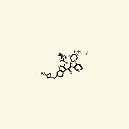 CC(C)(C)OC(=O)Nc1oc2cc(CN3CC(O)C3)cnc2c1C(=O)Nc1cnccc1N1C[C@@H](NC(=O)O)C[C@@H](C(F)(F)F)C1